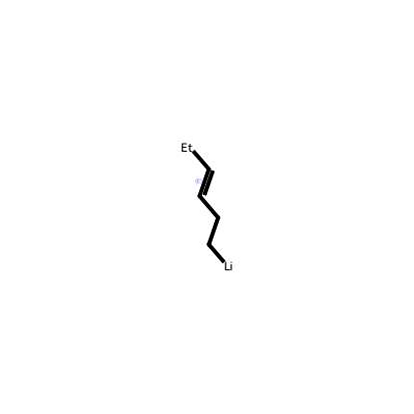 [Li][CH2]C/C=C/CC